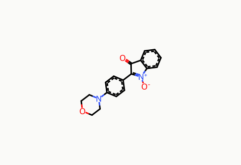 O=C1C(c2ccc(N3CCOCC3)cc2)=[N+]([O-])c2ccccc21